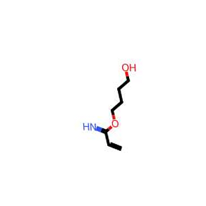 C=CC(=N)OCCCCO